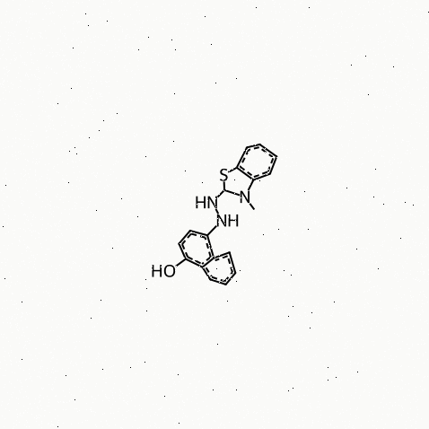 CN1c2ccccc2SC1NNc1ccc(O)c2ccccc12